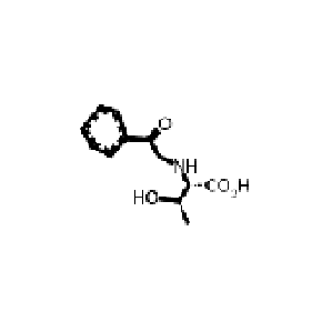 C[C@@H](O)[C@H](NCC(=O)c1ccccc1)C(=O)O